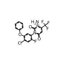 Nn1c(C(F)(F)F)cc(=O)n(-c2cc(Oc3ccccc3)c(Cl)cc2F)c1=O